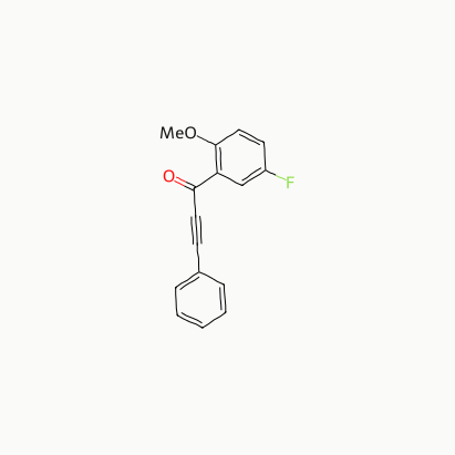 COc1ccc(F)cc1C(=O)C#Cc1ccccc1